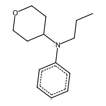 CCCN(c1cc[c]cc1)C1CCOCC1